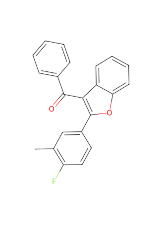 Cc1cc(-c2oc3ccccc3c2C(=O)c2ccccc2)ccc1F